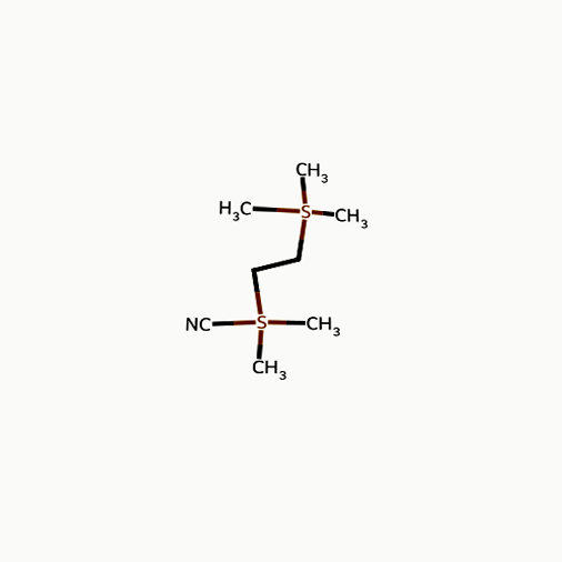 CS(C)(C)CCS(C)(C)C#N